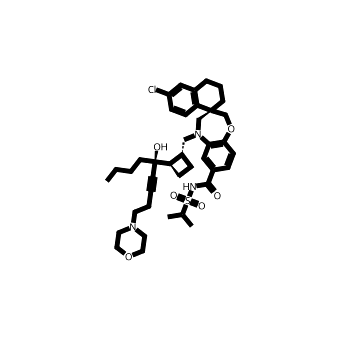 CCCC[C@@](O)(C#CCCN1CCOCC1)[C@@H]1CC[C@H]1CN1C[C@@]2(CCCc3cc(Cl)ccc32)COc2ccc(C(=O)NS(=O)(=O)C(C)C)cc21